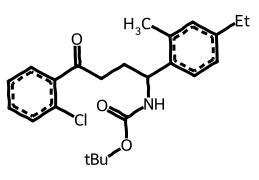 CCc1ccc(C(CCC(=O)c2ccccc2Cl)NC(=O)OC(C)(C)C)c(C)c1